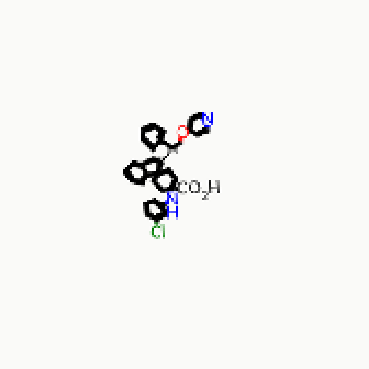 O=C(O)C1(Nc2cccc(Cl)c2)CCC2(CC1)c1ccccc1C[C@@H]2C[C@@H](COc1ccncc1)c1ccccc1